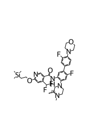 C[C@H]1CN(c2cc(F)c(-c3ccc(N4CCOCC4)c(F)c3)cc2NC(=O)c2cnc(OCC[Si](C)(C)C)cc2C(F)F)CCN1C